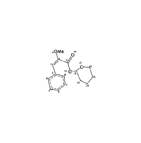 COC(=Cc1ccccc1)C(=O)OC1CCCCO1